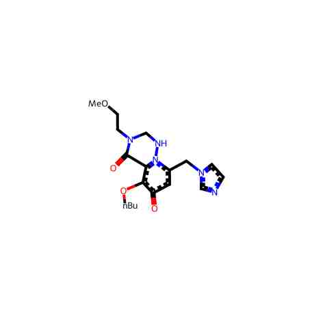 CCCCOc1c2n(c(Cn3ccnc3)cc1=O)NCN(CCOC)C2=O